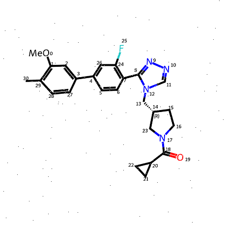 COc1cc(-c2ccc(-c3nncn3C[C@@H]3CCN(C(=O)C4CC4)C3)c(F)c2)ccc1C